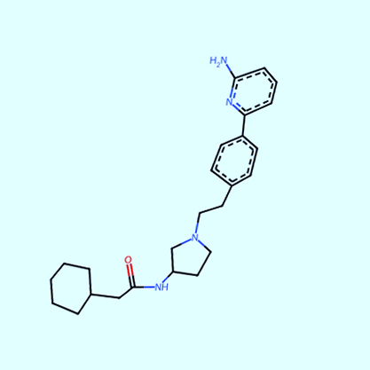 Nc1cccc(-c2ccc(CCN3CCC(NC(=O)CC4CCCCC4)C3)cc2)n1